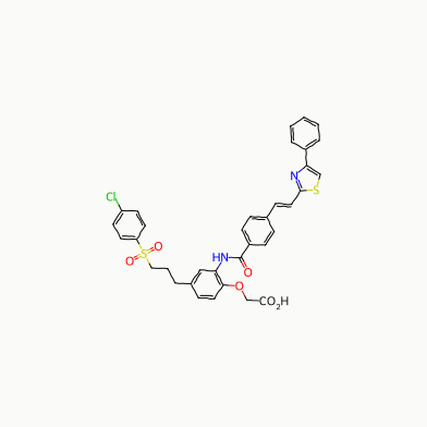 O=C(O)COc1ccc(CCCS(=O)(=O)c2ccc(Cl)cc2)cc1NC(=O)c1ccc(/C=C/c2nc(-c3ccccc3)cs2)cc1